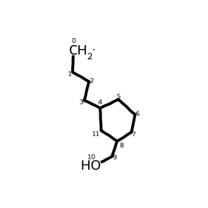 [CH2]CCCC1CCCC(CO)C1